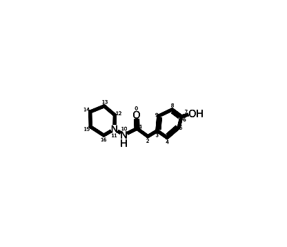 O=C(Cc1ccc(O)cc1)NN1CCCCC1